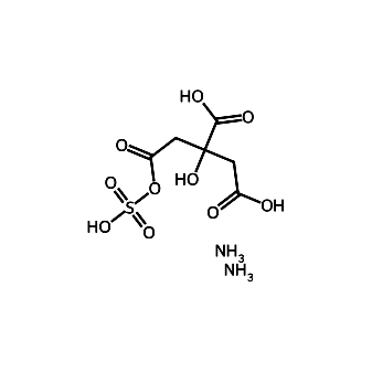 N.N.O=C(O)CC(O)(CC(=O)OS(=O)(=O)O)C(=O)O